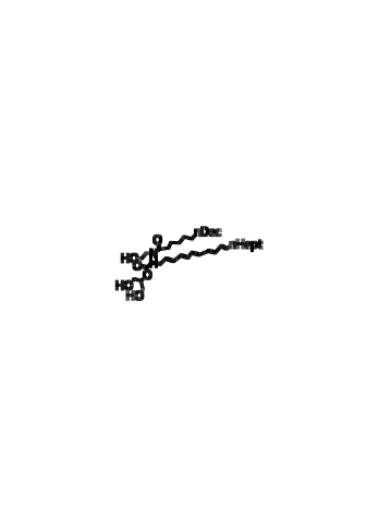 CCCCCCCC=CC=CC=CC=CC=CC=CC(=O)OC(CO)CO.CCCCCCCCCCCCCCCC(=O)NCCO